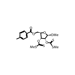 CO[C@@H]1O[C@H](COC(=O)c2ccc(C)cc2)[C@@H](OC(=S)SC)[C@H]1OC(=S)SC